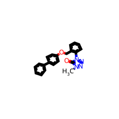 Cn1nnn(-c2ccccc2COc2ccc(-c3ccccc3)cc2)c1=O